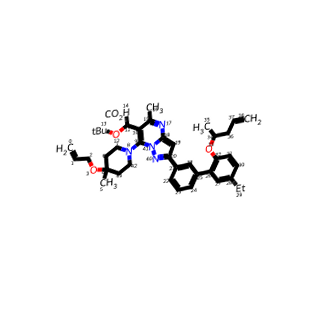 C=CCOC1(C)CCN(c2c(C(OC(C)(C)C)C(=O)O)c(C)nc3cc(-c4cccc(-c5cc(CC)ccc5OC(C)CC=C)c4)nn23)CC1